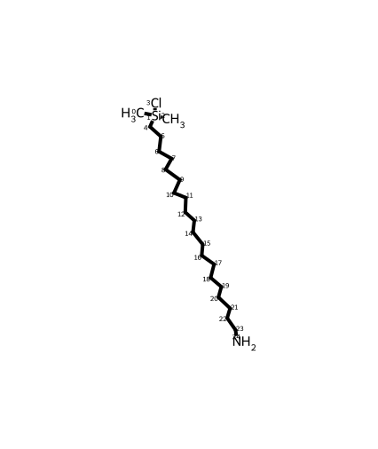 C[Si](C)(Cl)CCCCCCCCCCCCCCCCCCCCN